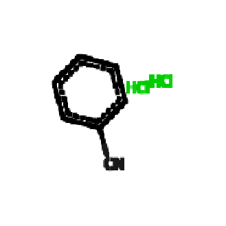 Cl.Cl.N#Cc1ccccc1